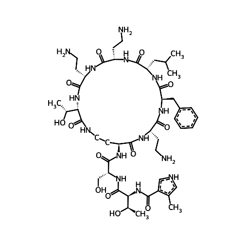 Cc1c[nH]cc1C(=O)N[C@H](C(=O)N[C@H](CO)C(=O)N[C@H]1CCNC(=O)[C@H]([C@@H](C)O)NC(=O)[C@H](CCN)NC(=O)[C@H](CCN)NC(=O)[C@H](CC(C)C)NC(=O)[C@@H](Cc2ccccc2)NC(=O)[C@H](CCN)NC1=O)[C@@H](C)O